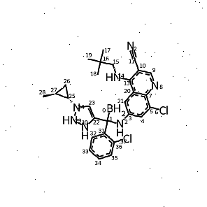 BC(Nc1cc(Cl)c2ncc(C#N)c(NCC(C)(C)C)c2c1)(C1=CN([C@H]2C[C@@H]2C)NN1)c1ccccc1Cl